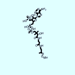 C/C(CCNC(=O)CCNC(=O)[C@@H](O)C(C)(C)COP(=O)(O)OP(=O)(O)OCC1OC(n2cnc3c(N)ncnc32)C(O)C1CP(=O)(O)O)=N\OC(C)(C)C